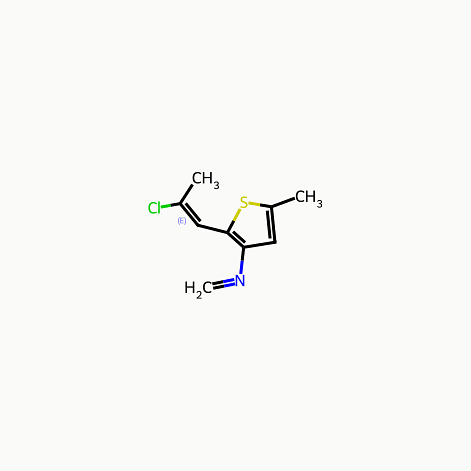 C=Nc1cc(C)sc1/C=C(\C)Cl